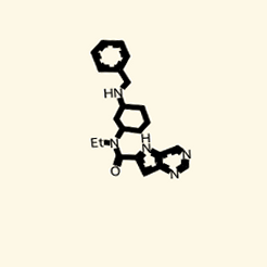 CCN(C(=O)c1cc2ncncc2[nH]1)C1CCCC(NCc2ccccc2)C1